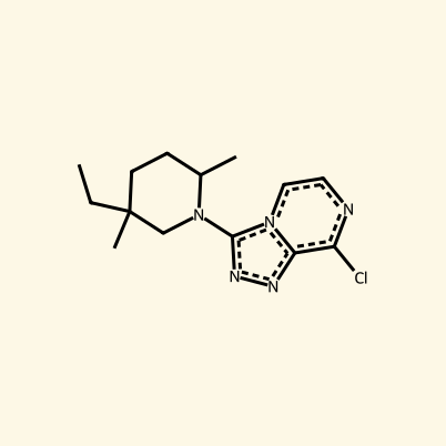 CCC1(C)CCC(C)N(c2nnc3c(Cl)nccn23)C1